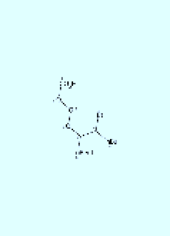 CCCCCC(OOOC(=O)O)C(CC)CCCC